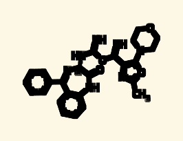 Cc1nc(C(=N)OC(=N)N[C@H]2N=C(c3ccccc3)c3ccccc3NC2=O)c(N2CCOCC2)o1